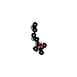 c1ccc(-c2nc(-c3ccc4c(c3)oc3ccc(-c5ccc6c(c5)oc5ccccc56)cc34)nc(-c3ccccc3-n3c4ccccc4c4ccccc43)n2)cc1